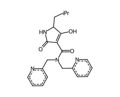 CC(C)CC1NC(=O)C(C(=O)N(Cc2ccccn2)Cc2ccccn2)=C1O